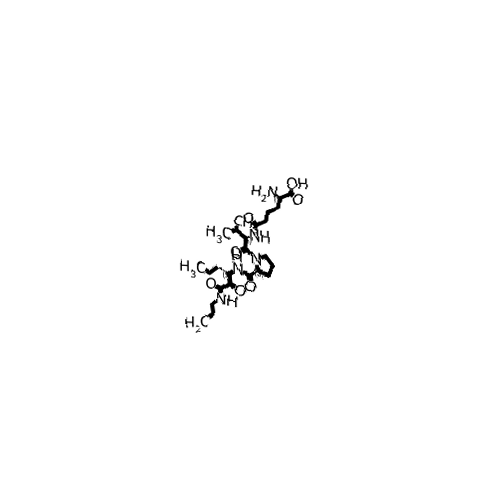 C=CCNC(=O)C(=O)[C@H](CCC)NC(=O)[C@@H]1CCCN1C(=O)[C@@H](NC(=O)CCC[C@H](N)C(=O)O)C(C)C